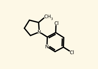 CC1CCCN1c1ncc(Cl)cc1Cl